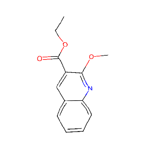 CCOC(=O)c1cc2ccccc2nc1OC